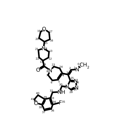 C=N/C=C(/C1=CCCN(C(=O)C2CCN(C3CCOCC3)CC2)CC1)c1nncn1CNCc1c(F)ccc2c1CCO2